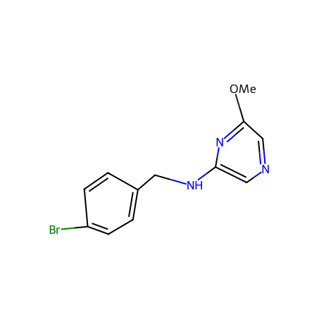 COc1cncc(NCc2ccc(Br)cc2)n1